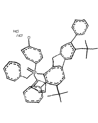 Cl.Cl.[CH2]=[Zr]([CH2]c1ccccc1)([C]1=CC=CC1)([c]1ccc(Cl)cc1)[c]1c2c(cc(C(C)(C)C)c1-c1ccccc1)-c1cc(C(C)(C)C)c(-c3ccccc3)cc1C2